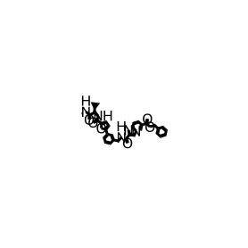 CNC(=O)C(NC(=O)c1ccc(-c2cccc(CNC(=O)c3cn4cc(C(=O)OCc5ccccc5)ccc4n3)c2)o1)C1CC1